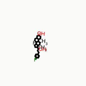 C[C@]12CC[C@H](O)CC1CC[C@@H]1C2CC[C@@]2(C)C1CCC2[C@H](O)CCc1ccc(F)cc1